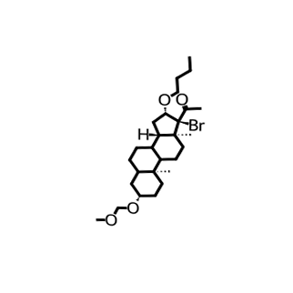 CCCCO[C@H]1C[C@H]2C3CCC4C[C@@H](OCOC)CC[C@]4(C)C3CC[C@]2(C)[C@@]1(Br)C(C)=O